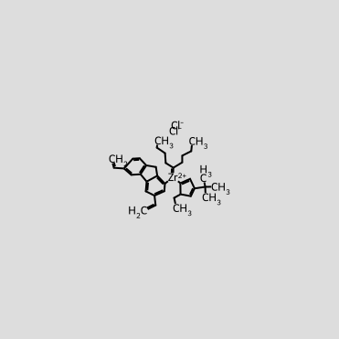 C=Cc1ccc2c(c1)-c1cc(C=C)c[c]([Zr+2]([C]3=CC(C(C)(C)C)=CC3CC)=[C](CCCC)CCCC)c1C2.[Cl-].[Cl-]